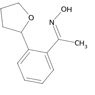 CC(=NO)c1ccccc1C1CCCO1